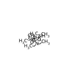 CCN(CC)[Si](C)(O[SiH](C)C)O[SiH](C)C